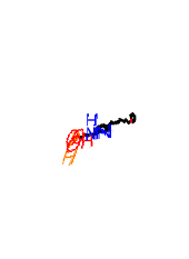 O=[PH](O)OCCCNCc1ccc(CCCCCCc2ccccc2)cn1